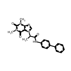 CC(C(=O)Nc1ccc(-c2ccccc2)cc1)n1cnc2c1c(=O)n(C)c(=O)n2C